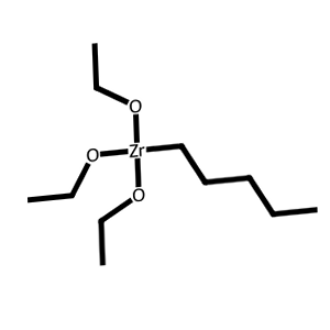 CCCC[CH2][Zr]([O]CC)([O]CC)[O]CC